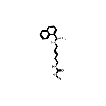 CC(C)NC(=O)NCC/C=C/CN[C@H](C)c1cccc2ccccc12